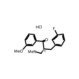 CNC[C@H](Cc1cccc(F)c1)C(=O)c1cccc(OC)c1.Cl